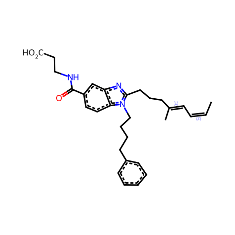 C/C=C\C=C(/C)CCCc1nc2cc(C(=O)NCCC(=O)O)ccc2n1CCCCc1ccccc1